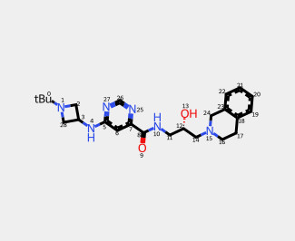 CC(C)(C)N1CC(Nc2cc(C(=O)NC[C@H](O)CN3CCc4ccccc4C3)ncn2)C1